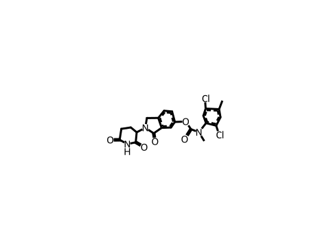 Cc1cc(Cl)c(N(C)C(=O)Oc2ccc3c(c2)C(=O)N(C2CCC(=O)NC2=O)C3)cc1Cl